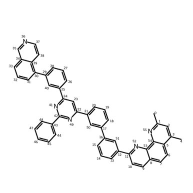 Cc1cc(C)c2ccc3ccc(-c4cccc(-c5cccc(-c6cc(-c7cccc(-c8cccc9cnccc89)c7)nc(-c7ccccc7)n6)c5)c4)nc3c2n1